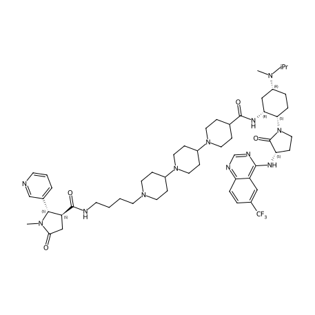 CC(C)N(C)[C@@H]1CC[C@H](N2CC[C@H](Nc3ncnc4ccc(C(F)(F)F)cc34)C2=O)[C@H](NC(=O)C2CCN(C3CCN(C4CCN(CCCCNC(=O)[C@H]5CC(=O)N(C)[C@@H]5c5cccnc5)CC4)CC3)CC2)C1